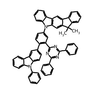 CC1(C)c2ccccc2-c2cc3c4ccccc4n(-c4ccc(-c5ccc6c(c5)c5ccccc5n6-c5ccccc5)c(-c5nc(-c6ccccc6)nc(-c6ccccc6)n5)c4)c3cc21